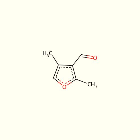 Cc1coc(C)c1C=O